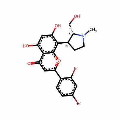 CN1CC[C@@H](c2c(O)cc(O)c3c(=O)cc(-c4ccc(Br)cc4Br)oc23)[C@@H]1CO